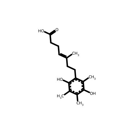 C/C(=C\CCC(=O)O)CCc1c(C)c(O)c(C)c(C)c1O